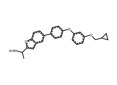 CC(=O)NC(C)c1cc2cc(-c3ccc(Oc4cccc(OCC5CC5)c4)cc3)ccc2o1